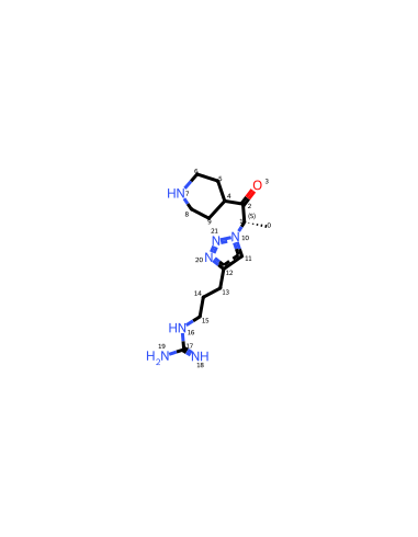 C[C@@H](C(=O)C1CCNCC1)n1cc(CCCNC(=N)N)nn1